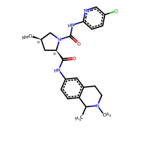 CO[C@@H]1C[C@H](C(=O)Nc2ccc3c(c2)CCN(C)C3C)N(C(=O)Nc2ccc(Cl)cn2)C1